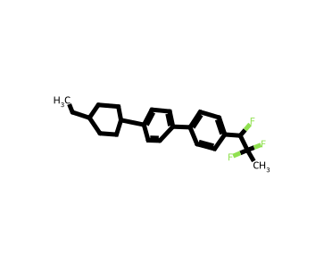 CCC1CCC(c2ccc(-c3ccc(C(F)C(C)(F)F)cc3)cc2)CC1